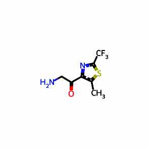 Cc1sc(C(F)(F)F)nc1C(=O)CN